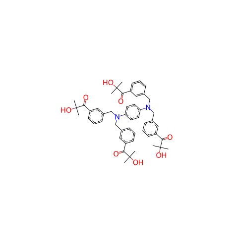 CC(C)(O)C(=O)C1=C=C=CC(CN(Cc2cccc(C(=O)C(C)(C)O)c2)c2ccc(N(Cc3cccc(C(=O)C(C)(C)O)c3)Cc3cccc(C(=O)C(C)(C)O)c3)cc2)=C1